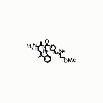 C=NN(/C=C1\CCN(C(=O)NC(=C)/C(N)=C\C=C(/C)c2ccccc2F)C1)CCOC